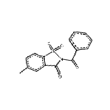 Cc1ccc2c(c1)C(=O)N(C(=O)c1ccccc1)S2(=O)=O